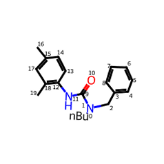 CCCCN(Cc1ccccc1)C(=O)Nc1ccc(C)cc1C